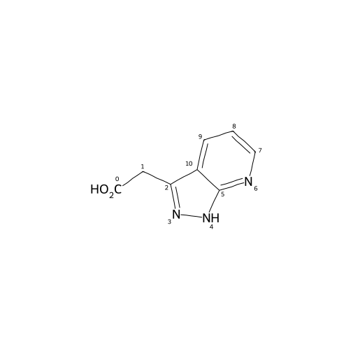 O=C(O)Cc1n[nH]c2ncccc12